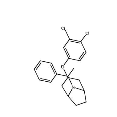 CC(c1ccccc1)N1C2CCC1CC(Oc1ccc(Cl)c(Cl)c1)C2